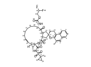 Cc1nc2ccccc2c2c1O[C@]1(CC2)C[C@H]2C(=O)N[C@]3(C(=O)NS(=O)(=O)C4(C)CC4)C[C@H]3/C=C\CCCCC[C@H](NC(=O)OCC(F)F)C(=O)N2C1